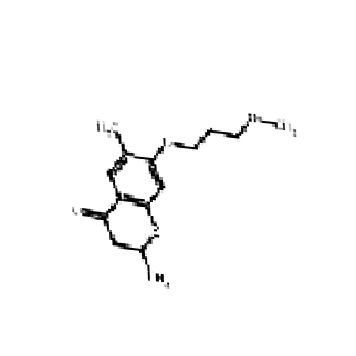 COCCCOc1cc2c(cc1C)C(=O)CC(C)S2